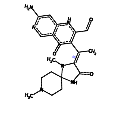 C/C(=C1\C(=O)NC2(CCN(C)CC2)N1C)c1c(C=O)[nH]c2cc(N)ncc2c1=O